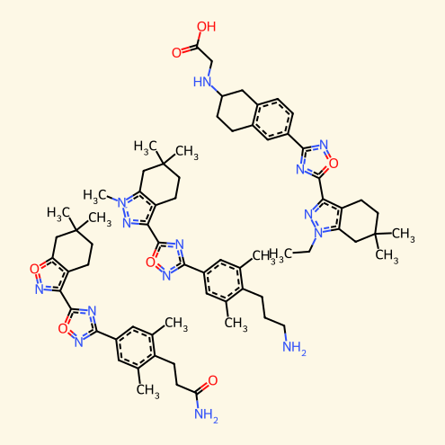 CCn1nc(-c2nc(-c3ccc4c(c3)CCC(NCC(=O)O)C4)no2)c2c1CC(C)(C)CC2.Cc1cc(-c2noc(-c3nn(C)c4c3CCC(C)(C)C4)n2)cc(C)c1CCCN.Cc1cc(-c2noc(-c3noc4c3CCC(C)(C)C4)n2)cc(C)c1CCC(N)=O